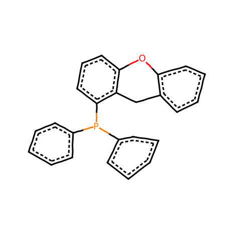 c1ccc(P(c2ccccc2)c2cccc3c2Cc2ccccc2O3)cc1